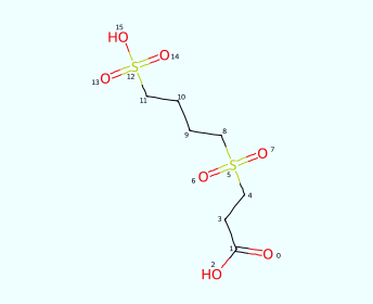 O=C(O)CCS(=O)(=O)CCCCS(=O)(=O)O